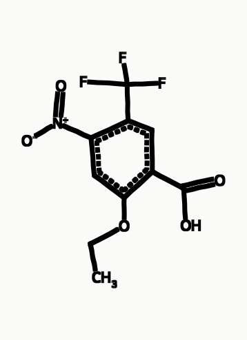 CCOc1cc([N+](=O)[O-])c(C(F)(F)F)cc1C(=O)O